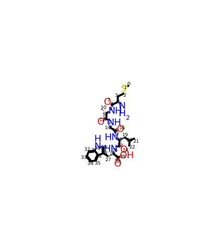 CSCC[C@H](N)C(=O)N[C@@H](C)C(=O)NCC(=O)N[C@@H](CC(C)C)C(=O)N[C@@H](Cc1c[nH]c2ccccc12)C(=O)O